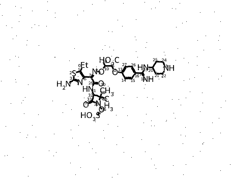 CCc1sc(N)nc1C(=NOC(COc1ccc(C(=N)NC2CCNCC2)cc1)C(=O)O)C(=O)NC1C(=O)N(OS(=O)(=O)O)C1(C)C